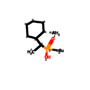 CCCCP(=O)(O)C(C)C1CCCCC1.[AlH3]